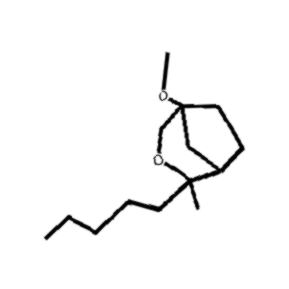 CCCCCC1(C)OCC2(OC)CCC1C2